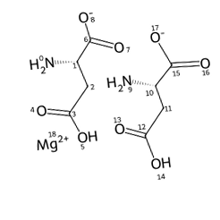 N[C@@H](CC(=O)O)C(=O)[O-].N[C@@H](CC(=O)O)C(=O)[O-].[Mg+2]